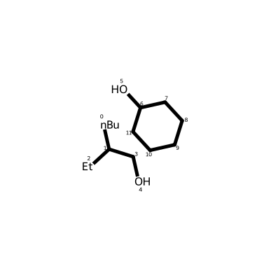 CCCCC(CC)CO.OC1CCCCC1